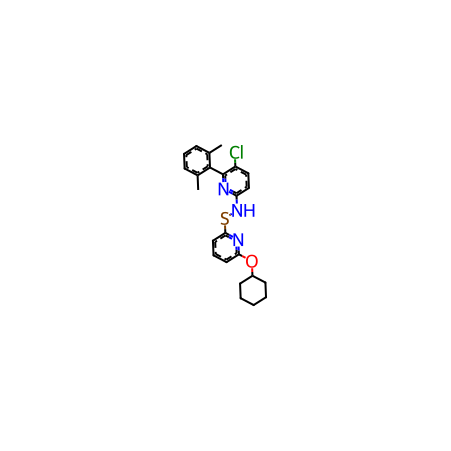 Cc1cccc(C)c1-c1nc(NSc2cccc(OC3CCCCC3)n2)ccc1Cl